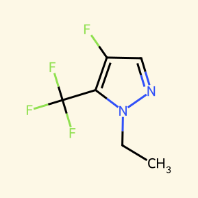 CCn1ncc(F)c1C(F)(F)F